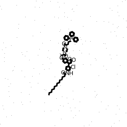 CCCCCCCCCCCCCC(=O)Nc1ccc(-c2cc(=O)oc3cc(O[C@H](C)C(=O)N4CCN(C(=O)CCC[P+](c5ccccc5)(c5ccccc5)c5ccccc5)CC4)ccc23)c(Cl)c1